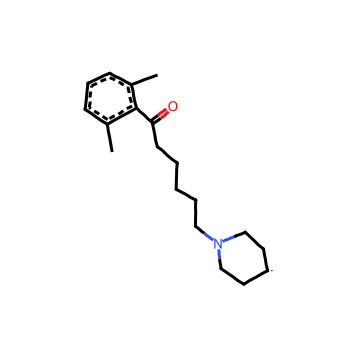 Cc1cccc(C)c1C(=O)CCCCCN1CC[CH]CC1